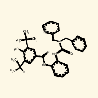 CC(C)(C)c1cc(C(=O)Nc2ccccc2NC(=O)N(Cc2ccccc2)Cc2ccccn2)cc(C(C)(C)C)c1O